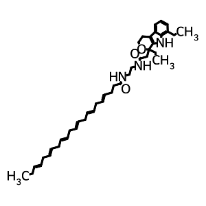 CCC=CCC=CCC=CCC=CCC=CCC=CCCC(=O)NCCNC(=O)CC1(CC)OCCc2c1[nH]c1c(CC)cccc21